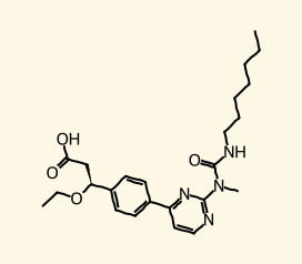 CCCCCCCNC(=O)N(C)c1nccc(-c2ccc([C@H](CC(=O)O)OCC)cc2)n1